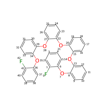 Fc1ccccc1Oc1ccccc1Oc1ccccc1Oc1ccccc1Oc1ccccc1Oc1ccccc1F